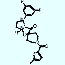 Cc1ccc(C(=O)N2CCC3(CC2)O[C@@H]2CC[C@@H](c4cc(F)cc(F)c4)N2C3=O)s1